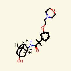 CC(C)(C(=O)N[C@H]1[C@@H]2C[C@@H]3C[C@@H]1C[C@](O)(C2)C3)c1cccc(OCCN2CCOCC2)c1